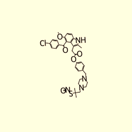 COc1ccc2[nH]c(C)c(CC(=O)Oc3ccc(CN4CCN(CC(C)(C)SN=O)CC4)cc3)c2c1C(=O)c1ccc(Cl)cc1